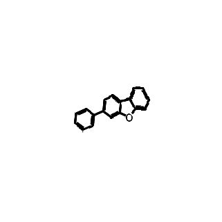 [c]1cccc(-c2ccc3c(c2)oc2ccccc23)c1